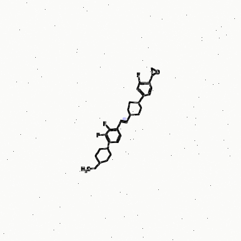 CCC1CCC(c2ccc(/C=C/C3CCC(c4ccc(C5CO5)c(F)c4)CC3)c(F)c2F)CC1